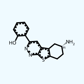 N[C@@H]1CCc2sc3nnc(-c4ccccc4O)cc3c2C1